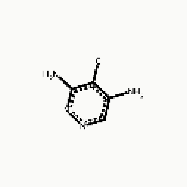 Nc1cnnc(N)c1Cl